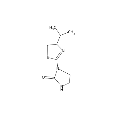 CC(C)C1CSC(N2CCNC2=O)=N1